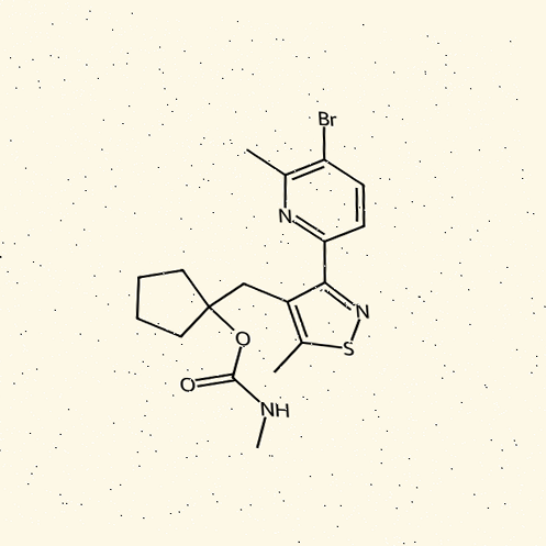 CNC(=O)OC1(Cc2c(-c3ccc(Br)c(C)n3)nsc2C)CCCC1